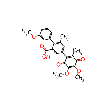 COC1=C(OC)C(=O)C(c2cc(C)c(-c3cccc(OC)c3)c(C(=O)O)c2)=C(C)C1=O